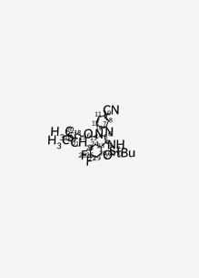 CC(C)(C)[S@@+]([O-])NC(c1nc2cc(C#N)ccc2n1COCC[Si](C)(C)C)C1CCC(F)(F)CC1